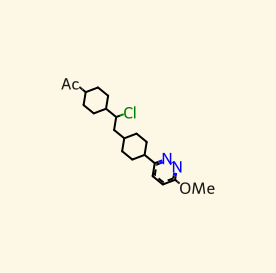 COc1ccc(C2CCC(CC(Cl)C3CCC(C(C)=O)CC3)CC2)nn1